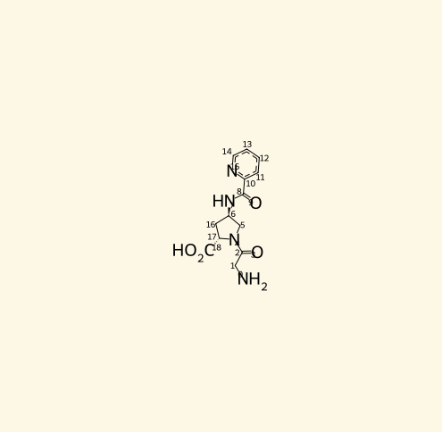 NCC(=O)N1C[C@H](NC(=O)c2ccccn2)C[C@H]1C(=O)O